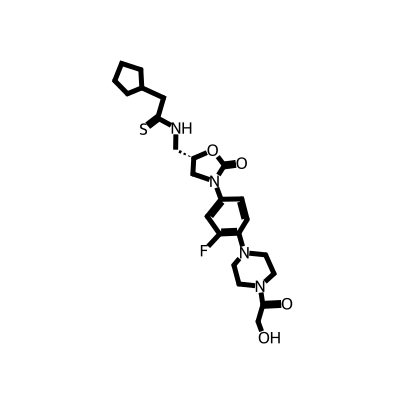 O=C(CO)N1CCN(c2ccc(N3C[C@H](CNC(=S)CC4CCCC4)OC3=O)cc2F)CC1